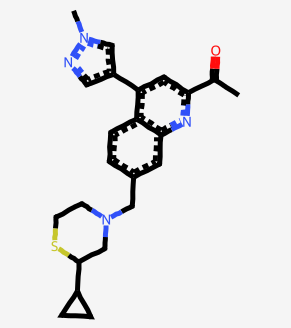 CC(=O)c1cc(-c2cnn(C)c2)c2ccc(CN3CCSC(C4CC4)C3)cc2n1